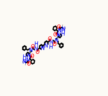 CN[C@@H](C)C(=O)N[C@H](C(=O)N1CCC[C@H]1CN(CCc1ccccc1)C(=O)CNC(=O)c1ccc(-c2ccc(C(=O)NCC(=O)N(CCc3ccccc3)C[C@@H]3CCCN3C(=O)[C@@H](NC(=O)[C@H](C)NC)C3CCCCC3)cn2)nc1)C1CCCCC1